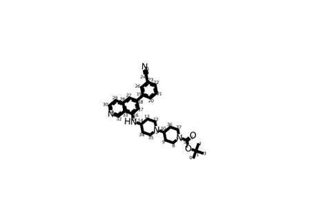 CC(C)(C)OC(=O)N1CCC(N2CCC(Nc3cc(-c4cccc(C#N)c4)cc4ccncc34)CC2)CC1